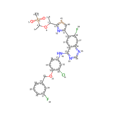 CCS(=O)(=O)C(C)OC(C)c1nc(-c2cc3c(Nc4ccc(OCc5cccc(F)c5)c(Cl)c4)ncnc3cc2F)cs1